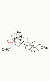 C=C(C)[C@@H]1CC[C@]2(C(=O)CC=O)CC[C@]3(C)[C@H](CCC4[C@@]5(C)CC[C@H](OC(C)=O)C(C)(C)[C@@H]5CC[C@]43C)[C@@H]12